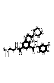 CNCCNC(=O)c1cc(C(C)Nc2cccc(F)c2)c2nc(N3CCOCC3)cnc2c1